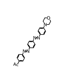 CC(=O)c1ccc(N=Nc2ccc(N=Nc3ccc(N4CCOCC4)cc3)cc2)cc1